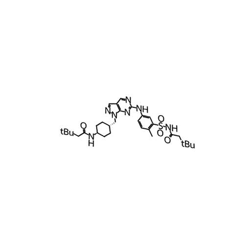 Cc1ccc(Nc2ncc3cnn(C[C@H]4CC[C@H](NC(=O)CC(C)(C)C)CC4)c3n2)cc1S(=O)(=O)NC(=O)CC(C)(C)C